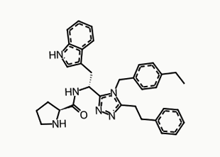 CCc1ccc(Cn2c(CCc3ccccc3)nnc2[C@@H](Cc2c[nH]c3ccccc23)NC(=O)[C@@H]2CCCN2)cc1